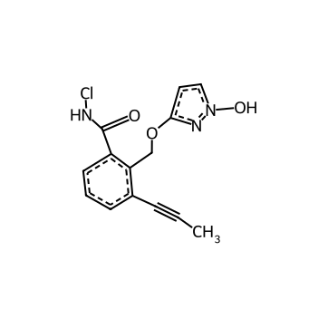 CC#Cc1cccc(C(=O)NCl)c1COc1ccn(O)n1